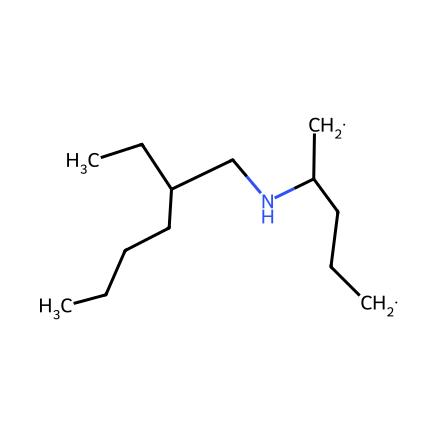 [CH2]CCC([CH2])NCC(CC)CCCC